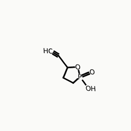 C#CC1CCP(=O)(O)O1